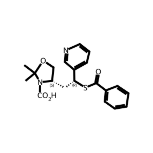 CC1(C)OC[C@H](C[C@@H](SC(=O)c2ccccc2)c2cccnc2)N1C(=O)O